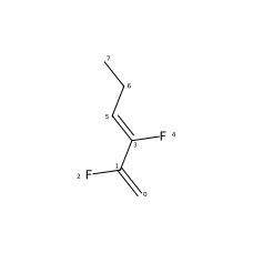 C=C(F)/C(F)=C/CC